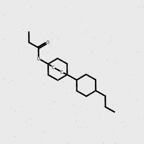 CCCC1CCC(C23CCC(OC(=O)CC)(CC2)CC3)CC1